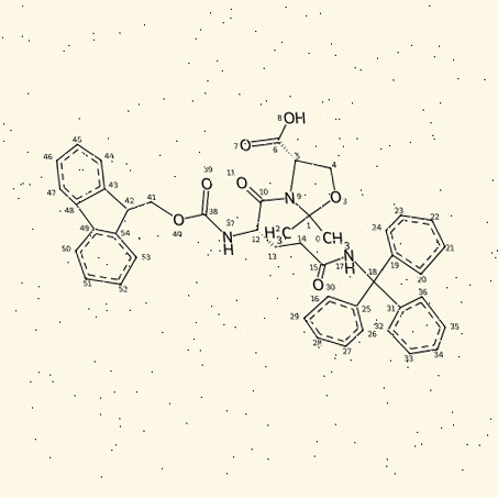 CC1(C)OC[C@@H](C(=O)O)N1C(=O)[C@H](CCC(=O)NC(c1ccccc1)(c1ccccc1)c1ccccc1)NC(=O)OCC1c2ccccc2-c2ccccc21